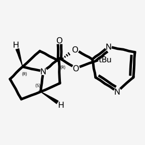 CC(C)(C)OC(=O)N1[C@@H]2CC[C@H]1C[C@@H](Oc1cnccn1)C2